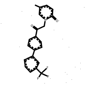 Cc1ccc(=O)n(CC(=O)c2ccc(-c3cccc(C(F)(F)F)c3)cc2)c1